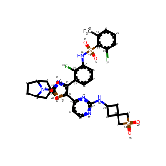 CC1(C#N)CC2CCC(C1)N2c1nc(-c2cccc(NS(=O)(=O)c3c(F)cccc3C(F)(F)F)c2F)c(-c2ccnc(NC3CC4(C3)CS(=O)(=O)C4)n2)s1